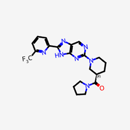 O=C([C@@H]1CCCN(c2ncc3nc(-c4cccc(C(F)(F)F)n4)[nH]c3n2)C1)N1CCCC1